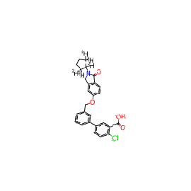 [2H]C1([2H])CCC([2H])([2H])C1([2H])N1Cc2cc(OCc3cccc(-c4ccc(Cl)c(C(=O)O)c4)c3)ccc2C1=O